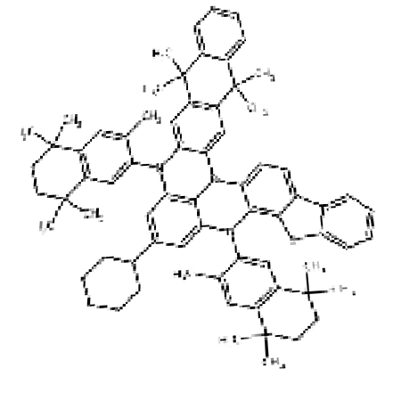 Cc1cc2c(cc1N1c3cc4c(cc3B3c5ccc6c(sc7ccccc76)c5N(c5cc6c(cc5C)C(C)(C)CCC6(C)C)c5cc(C6CCCCC6)cc1c53)C(C)(C)c1ccccc1C4(C)C)C(C)(C)CCC2(C)C